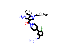 C=C/C=c1\c(=C/N)c(C(=O)N2CCC(c3cc(CN)ccc3F)CC2)cn1CCOC